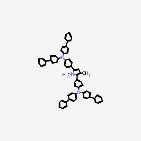 Cc1cc(-c2ccc(N(c3ccc(-c4ccccc4)cc3)c3ccc(-c4ccccc4)cc3)cc2)n(C)c1-c1ccc(N(c2ccc(-c3ccccc3)cc2)c2ccc(-c3ccccc3)cc2)cc1